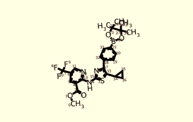 COC(=O)c1cc(C(F)(F)F)cnc1Nc1nc(-c2ccc(B3OC(C)(C)C(C)(C)O3)cc2)c(C2CC2)s1